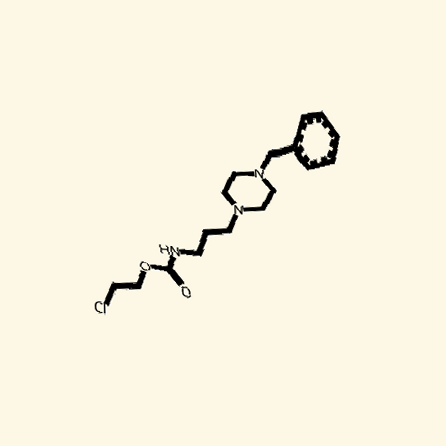 O=C(NCCCN1CCN(Cc2ccccc2)CC1)OCCCl